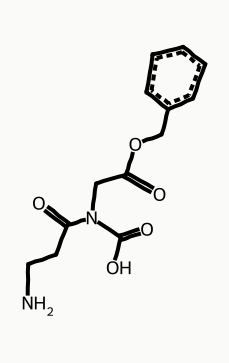 NCCC(=O)N(CC(=O)OCc1ccccc1)C(=O)O